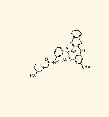 COc1cc(Nc2nc3ccccc3nc2NS(=O)(=O)c2cccc(NC(=O)CN3CCCC(C)C3)c2)cc(OC)c1